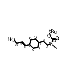 CN(CCC1CCC(C=CCO)CC1)C(=O)OC(C)(C)C